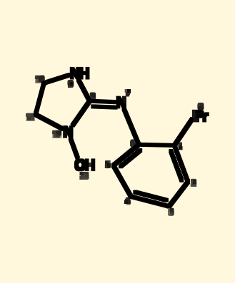 CC(C)c1ccccc1/N=C1/NCCN1O